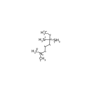 CCC([SiH3])([SiH3])CCCN(C)C